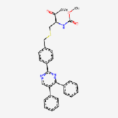 COC(=O)C(CSCc1ccc(-c2ncc(-c3ccccc3)c(-c3ccccc3)n2)cc1)NC(=O)OC(C)(C)C